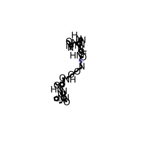 CC[C@@H]1C(=O)N(C)c2cnc(Nc3ccc(C(=O)NCCOCCOCCN(C)C/C=C/C(=O)N[C@@H]4CN(c5nc(Nc6cn(C)nc6OC)c6ncn(C)c6n5)C[C@H]4F)cc3OC)nc2N1C1CCCC1